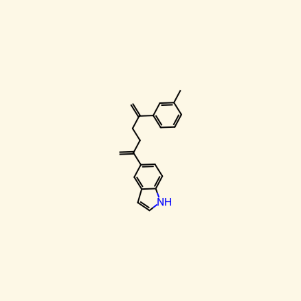 C=C(CCC(=C)c1ccc2[nH]ccc2c1)c1cccc(C)c1